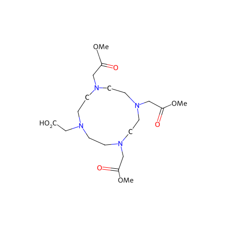 COC(=O)CN1CCN(CC(=O)O)CCN(CC(=O)OC)CCN(CC(=O)OC)CC1